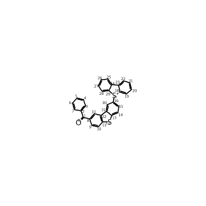 O=C(c1ccccc1)c1ccc2sc3ccc(-[s+]4c5ccccc5c5ccccc54)cc3c2c1